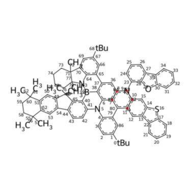 CC(C)(C)c1ccc(N2c3cc(N(c4ccc5c(c4)sc4ccccc45)c4cccc5c4oc4ccccc45)cc4c3B(c3c2ccc2c3C(C)(C)c3cc5c(cc3-2)C(C)(C)CCC5(C)C)N2c3c-4cc(C(C)(C)C)cc3C3(C)CCCCC23C)c(-c2ccccc2)c1